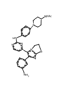 CC(=O)NC1CCN(c2ccc(Nc3nccc(-c4c(-c5cccc(N)c5)nc5n4CCS5)n3)cc2)CC1